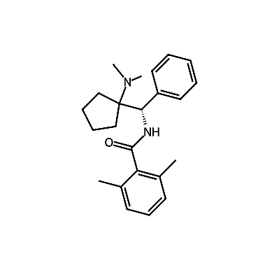 Cc1cccc(C)c1C(=O)N[C@@H](c1ccccc1)C1(N(C)C)CCCC1